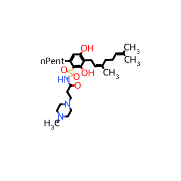 CCCCCc1cc(O)c(CC=C(C)CCC=C(C)C)c(O)c1S(=O)(=O)NC(=O)CCN1CCN(C)CC1